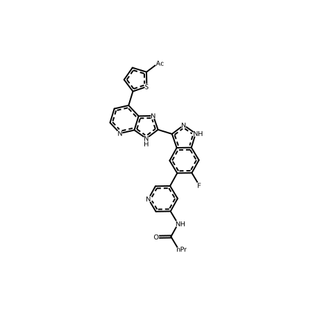 CCCC(=O)Nc1cncc(-c2cc3c(-c4nc5c(-c6ccc(C(C)=O)s6)ccnc5[nH]4)n[nH]c3cc2F)c1